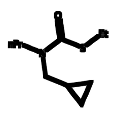 CCCN(CC1CC1)C(=O)SCC